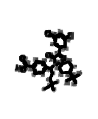 CC(C)(C)CCC(c1ccc(C(=O)O)cc1)N1C(=O)C(c2cc(Cl)cc(Cl)c2)=NC12CCC(C(C)(C)C)CC2